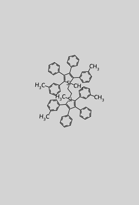 Cc1cccc(C2=C(c3ccccc3)C(c3ccccc3)=C(c3cccc(C)c3)[Si]2(C)CC[Si]2(C)C(c3cccc(C)c3)=C(c3ccccc3)C(c3ccccc3)=C2c2cccc(C)c2)c1